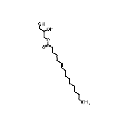 CCCCCCCCCC=CCCCCC(=O)OCC(O)CO